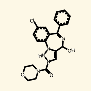 O=C(N1CCOCC1)N1C=C2C(O)N=C(c3ccccc3)c3cc(Cl)ccc3N2N1